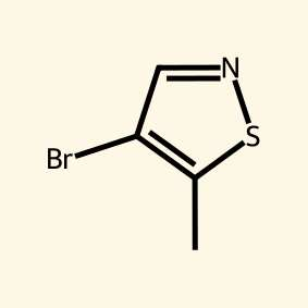 Cc1sncc1Br